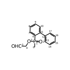 CP(=O)(OCC=O)c1ccccc1-c1ccccc1